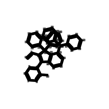 C=CC1=C(c2ccccc2C)c2cccc(N(c3ccccc3)c3ccccc3)c2C1(c1ccccc1)c1ccccc1